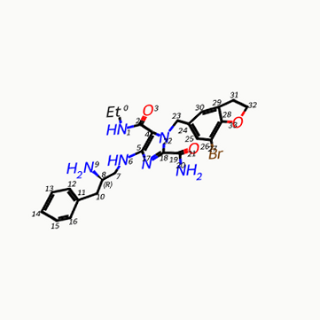 CCNC(=O)c1c(NC[C@H](N)Cc2ccccc2)nc(C(N)=O)n1Cc1cc(Br)c2c(c1)CCO2